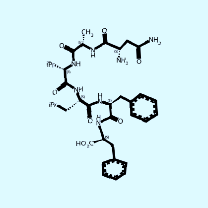 CC(C)C[C@H](NC(=O)[C@@H](NC(=O)[C@H](C)NC(=O)[C@@H](N)CC(N)=O)C(C)C)C(=O)N[C@@H](Cc1ccccc1)C(=O)N[C@@H](Cc1ccccc1)C(=O)O